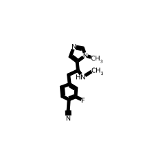 CNC(Cc1ccc(C#N)c(F)c1)c1cncn1C